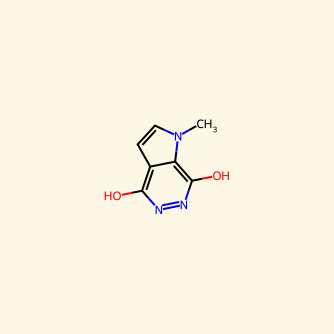 Cn1ccc2c(O)nnc(O)c21